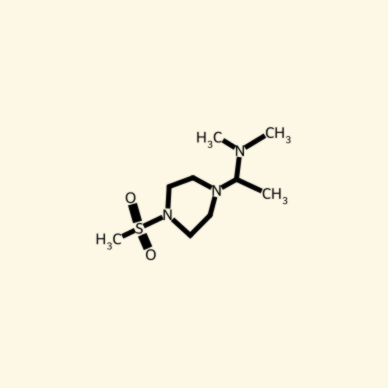 CC(N(C)C)N1CCN(S(C)(=O)=O)CC1